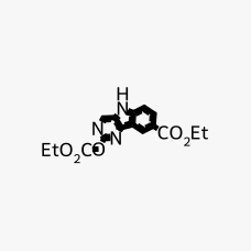 CCOC(=O)Oc1ncc2[nH]c3ccc(C(=O)OCC)cc3c2n1